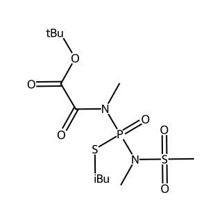 CCC(C)SP(=O)(N(C)C(=O)C(=O)OC(C)(C)C)N(C)S(C)(=O)=O